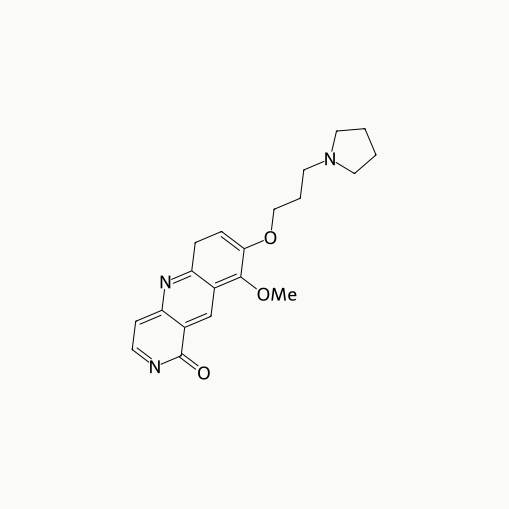 COC1=c2cc3c(nc2CC=C1OCCCN1CCCC1)=CC=NC3=O